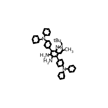 CC1=C=c2c(-c3ccc(N(c4ccccc4)c4ccccc4)cc3)c(N)c(N)c(-c3ccc(N(c4ccccc4)c4ccccc4)cc3)c2=NN1CC(C)(C)C